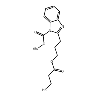 CC(C)(C)OC(=O)n1c(CCCOC(=O)CCS)nc2ccccc21